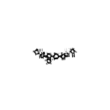 c1cc(-c2ccc(-c3cnc([C@@H]4CCCN4)[nH]3)c3c2C2CCC3C2)ccc1-c1ccc2nc([C@@H]3CCCN3)[nH]c2c1